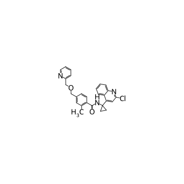 Cc1cc(COCc2ccccn2)ccc1C(=O)NC1(c2cc(Cl)nc3ccccc23)CC1